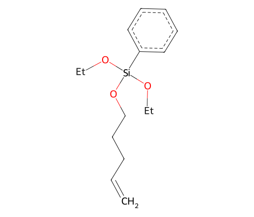 C=CCCCO[Si](OCC)(OCC)c1ccccc1